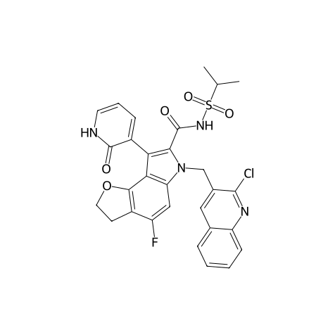 CC(C)S(=O)(=O)NC(=O)c1c(-c2ccc[nH]c2=O)c2c3c(c(F)cc2n1Cc1cc2ccccc2nc1Cl)CCO3